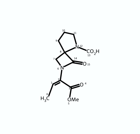 CC=C(C(=O)OC)N1CC2(CCCN2C(=O)O)C1=O